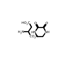 NC(CC(=O)O)C(=O)O.O=C1NCCNC1=O